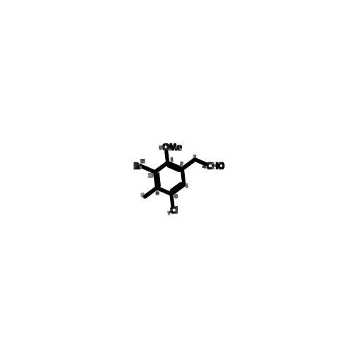 COc1c(CC=O)cc(Cl)c(C)c1Br